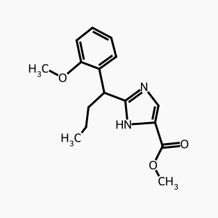 CCCC(c1ncc(C(=O)OC)[nH]1)c1ccccc1OC